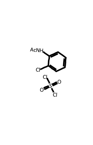 CC(=O)Nc1ccccc1Cl.O=S(=O)(Cl)Cl